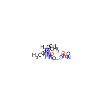 Cc1ccc(-n2nc(C(C)(C)C)cc2NC(=O)Nc2ccc(CC3CCN(C(=O)c4ccnc5ccccc45)CC3)cc2)cc1